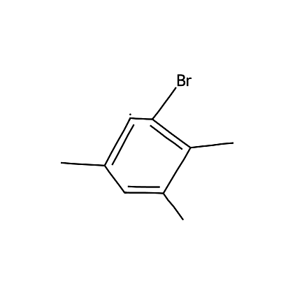 Cc1[c]c(Br)c(C)c(C)c1